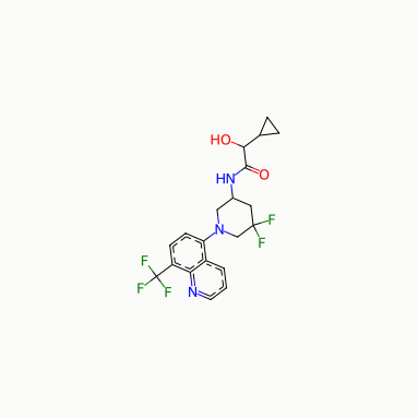 O=C(NC1CN(c2ccc(C(F)(F)F)c3ncccc23)CC(F)(F)C1)C(O)C1CC1